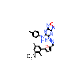 Cc1ccc(Nc2nc3nonc3nc2N/N=C\c2ccc(-c3cc(C)cc([N+](=O)[O-])c3C)o2)cc1